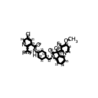 COc1ccnc(C2(O)C(=O)N(CC3CCC(NC(=O)c4cc(Cl)cnc4C(F)F)CC3)c3ccccc32)c1F